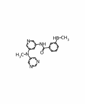 CBc1cccc(C(=O)Nc2cncc(N(C)c3cncnc3)c2)c1